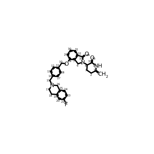 C=C1CCC(N2Cc3c(OCc4ccc(CN5CCc6cc(F)ccc6C5)cc4)cccc3C2=O)C(=O)N1